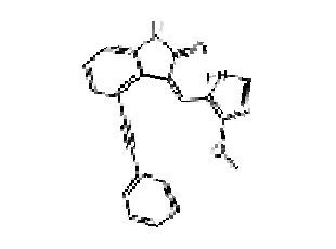 COc1cc[nH]c1C=C1C(=O)Nc2cccc(C#Cc3ccccc3)c21